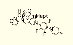 C=C1C=CN(c2c(F)cc(N3CC(CN(c4ccon4)P(=O)(O)OC(=O)CCCCCCC)CC3=C)c(F)c2F)CC1